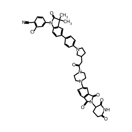 CC1(C)C(=O)N(c2ccc(C#N)c(Cl)c2)c2ccc(-c3ccc(N4CCC(CC(=O)N5CCN(c6ccc7c(c6)C(=O)N(C6CCC(=O)NC6=O)C7=O)CC5)C4)cc3)cc21